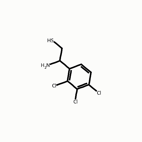 NC(CS)c1ccc(Cl)c(Cl)c1Cl